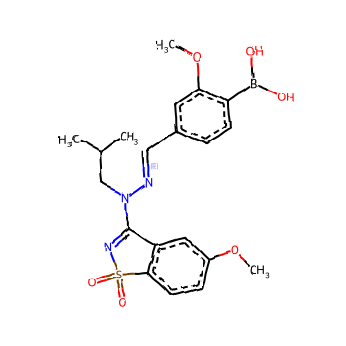 COc1ccc2c(c1)C(N(CC(C)C)/N=C/c1ccc(B(O)O)c(OC)c1)=NS2(=O)=O